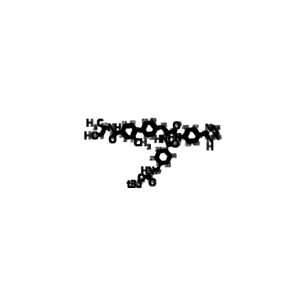 Cc1cc(C(=O)NC(C)CO)ccc1-c1ccc(CC(NC(=O)[C@H]2CC[C@H](CNC(=O)OC(C)(C)C)CC2)C(=O)Nc2ccc(-c3nnn[nH]3)cc2)cc1